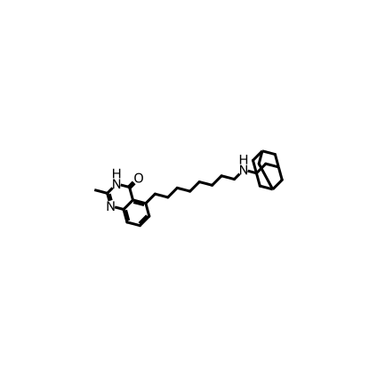 Cc1nc2cccc(CCCCCCCCNC34CC5CC(CC(C5)C3)C4)c2c(=O)[nH]1